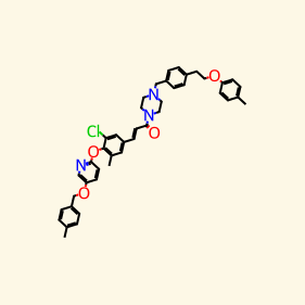 Cc1ccc(COc2ccc(Oc3c(C)cc(/C=C/C(=O)N4CCN(Cc5ccc(CCOc6ccc(C)cc6)cc5)CC4)cc3Cl)nc2)cc1